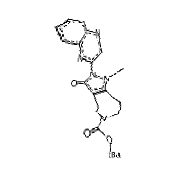 Cn1c2c(c(=O)n1-c1cnc3ccccc3n1)CN(C(=O)OC(C)(C)C)CC2